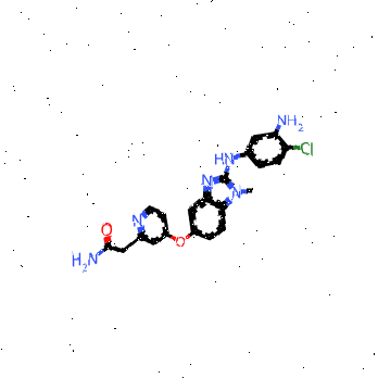 Cn1c(Nc2ccc(Cl)c(N)c2)nc2cc(Oc3ccnc(CC(N)=O)c3)ccc21